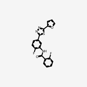 O=C(Nc1cc(-c2nnc(-c3ccco3)s2)ccc1F)c1ccccc1F